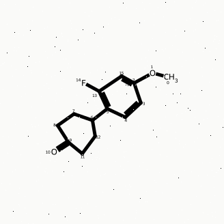 COc1ccc(C2CCC(=O)CC2)c(F)c1